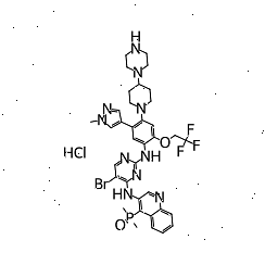 Cl.Cn1cc(-c2cc(Nc3ncc(Br)c(Nc4cnc5ccccc5c4P(C)(C)=O)n3)c(OCC(F)(F)F)cc2N2CCC(N3CCNCC3)CC2)cn1